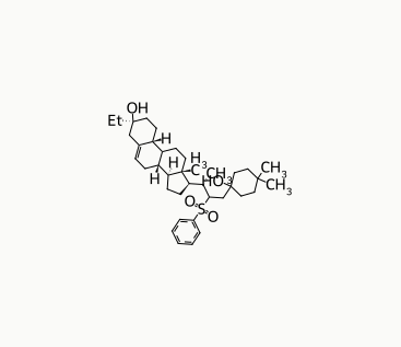 CC[C@]1(O)CC[C@H]2C(=CC[C@@H]3C2CC[C@]2(C)[C@@H]([C@H](C)C(CC4(O)CCC(C)(C)CC4)S(=O)(=O)c4ccccc4)CC[C@@H]32)C1